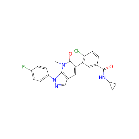 Cn1c(=O)c(-c2cc(C(=O)NC3CC3)ccc2Cl)cc2cnn(-c3ccc(F)cc3)c21